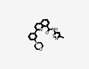 Cc1cc(NC(=O)c2cccc3ccc(-c4cccc(N5CCOCC5)c4)nc23)sn1